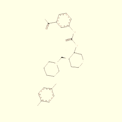 CC(=O)c1cccc(NC(=O)N[C@@]2(C)CNCC[C@H]2CN2CCC[C@@H](Cc3ccc(F)cc3)C2)c1